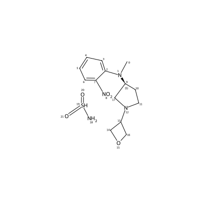 CN(c1ccccc1[N+](=O)[O-])[C@H]1CCN(C2COC2)C1.N[SH](=O)=O